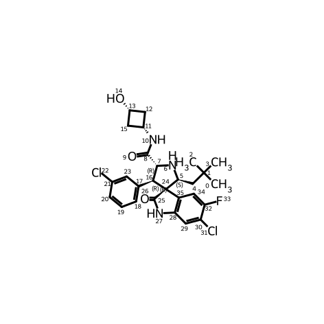 CC(C)(C)C[C@@H]1N[C@@H](C(=O)N[C@H]2C[C@@H](O)C2)[C@H](c2cccc(Cl)c2)[C@]12C(=O)Nc1cc(Cl)c(F)cc12